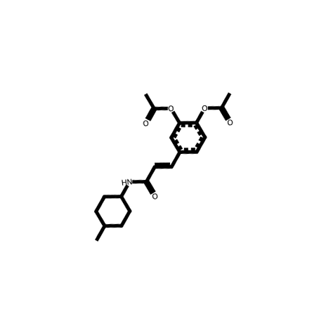 CC(=O)Oc1ccc(C=CC(=O)NC2CCC(C)CC2)cc1OC(C)=O